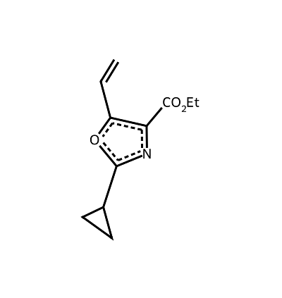 C=Cc1oc(C2CC2)nc1C(=O)OCC